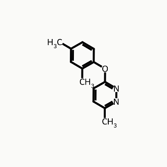 Cc1ccc(Oc2ccc(C)nn2)c(C)c1